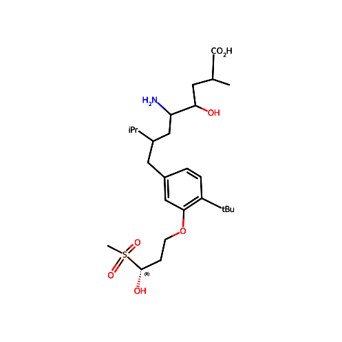 CC(CC(O)C(N)CC(Cc1ccc(C(C)(C)C)c(OCC[C@H](O)S(C)(=O)=O)c1)C(C)C)C(=O)O